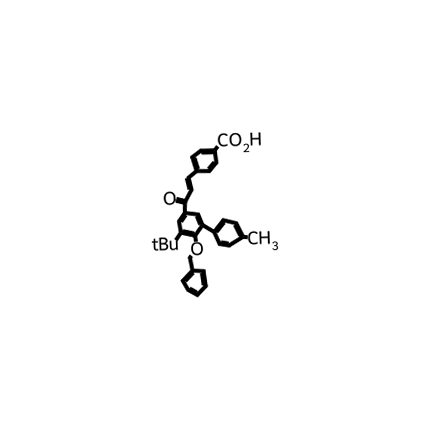 Cc1ccc(-c2cc(C(=O)C=Cc3ccc(C(=O)O)cc3)cc(C(C)(C)C)c2OCc2ccccc2)cc1